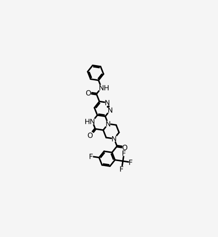 O=C(Nc1ccccc1)c1cc2c(nn1)N1CCN(C(=O)c3cc(F)ccc3C(F)(F)F)CC1C(=O)N2